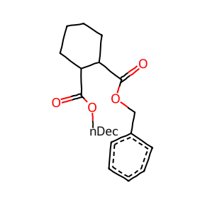 CCCCCCCCCCOC(=O)C1CCCCC1C(=O)OCc1ccccc1